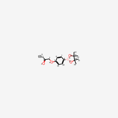 CC(C)(C)C(=O)COc1ccc(B2OC(C)(C)C(C)(C)O2)cc1